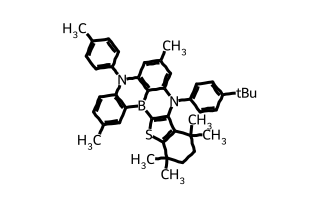 Cc1ccc(N2c3ccc(C)cc3B3c4sc5c(c4N(c4ccc(C(C)(C)C)cc4)c4cc(C)cc2c43)C(C)(C)CCC5(C)C)cc1